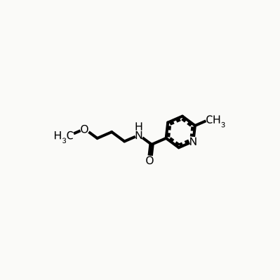 COCCCNC(=O)c1ccc(C)nc1